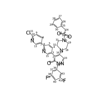 O=c1c(-c2ccc(-c3ccc(Cl)nc3)nc2)c(N2CCN(S(=O)(=O)Cc3ccccc3)CC2)cnn1-c1cc(F)cc(F)c1